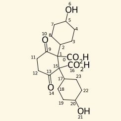 O=C(O)C1(C2CCC(O)CC2)C(=O)CCC(=O)C1(C(=O)O)C1CCC(O)CC1